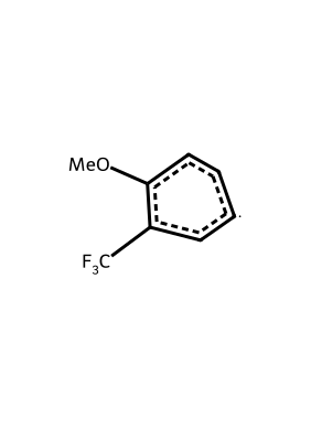 COc1cc[c]cc1C(F)(F)F